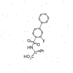 CC(C)[C@H](NS(=O)(=O)c1ccc(-c2ccccc2)cc1F)C(=O)O